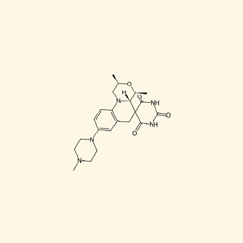 C[C@@H]1CN2c3ccc(N4CCN(C)CC4)cc3CC3(C(=O)NC(=O)NC3=O)[C@H]2[C@H](C)O1